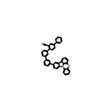 N#Cc1cc(-c2ccccc2)ccc1-c1cccc(-c2cccc(-c3ccc4c(c3)c3cccc5c3n4-c3ccccc3O5)c2)c1